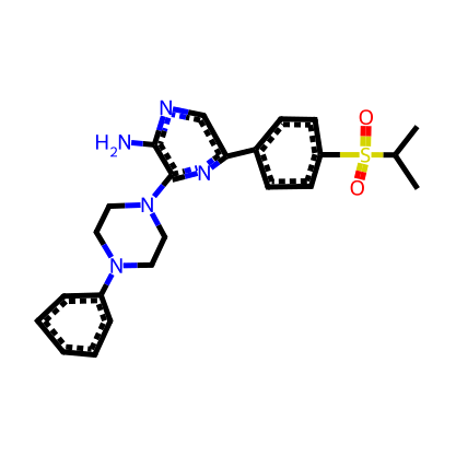 CC(C)S(=O)(=O)c1ccc(-c2cnc(N)c(N3CCN(c4ccccc4)CC3)n2)cc1